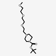 COCCOCCOCCN1CCN(C(=O)OC(C)(C)C)CC1